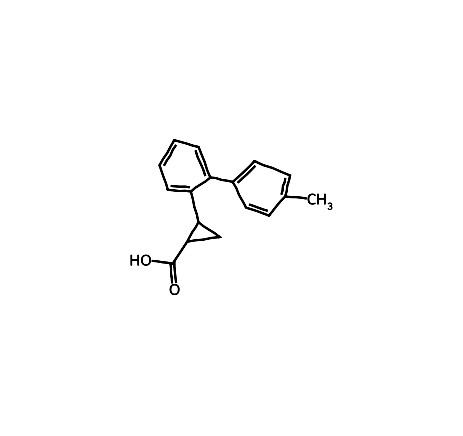 Cc1ccc(-c2ccccc2C2CC2C(=O)O)cc1